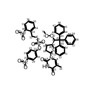 COOC([C@H]1O[C@@H](n2cc(C)c(=O)[nH]c2=O)C[C@@H]1OP(=O)(Oc1ccc([N+](=O)[O-])cc1)SCc1ccccc1[N+](=O)[O-])C(c1ccccc1)(c1ccccc1)c1ccccc1